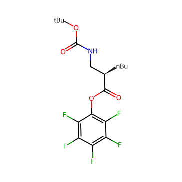 CCCC[C@H](CNC(=O)OC(C)(C)C)C(=O)Oc1c(F)c(F)c(F)c(F)c1F